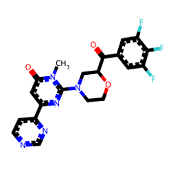 Cn1c(N2CCOC(C(=O)c3cc(F)c(F)c(F)c3)C2)nc(-c2ccncn2)cc1=O